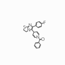 O=C(c1ccccc1)N1C=CC(c2c(-c3ccc(F)cc3)nc3n2CCS3)C=C1